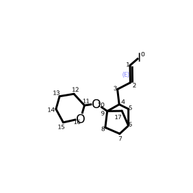 I/C=C/CC1CC2CCC1(OC1CCCCO1)C2